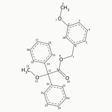 COc1cccc(COC(=O)C(OC)(c2ccccc2)c2ccccc2)c1